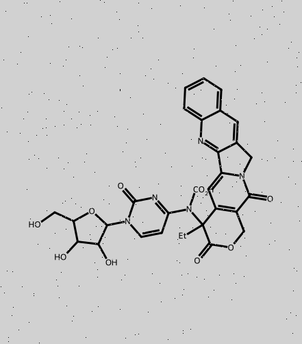 CCC1(N(C(=O)O)c2ccn(C3OC(CO)C(O)C3O)c(=O)n2)C(=O)OCc2c1cc1n(c2=O)Cc2cc3ccccc3nc2-1